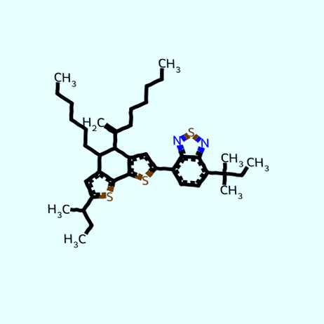 C=C(CCCCCC)C1c2cc(-c3ccc(C(C)(C)CC)c4nsnc34)sc2-c2sc(C(C)CC)cc2C1CCCCCC